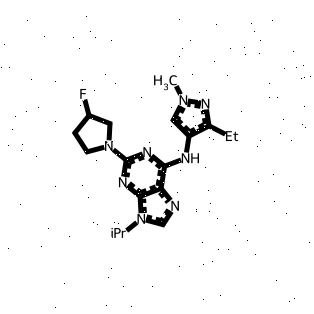 CCc1nn(C)cc1Nc1nc(N2CCC(F)C2)nc2c1ncn2C(C)C